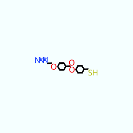 [N-]=[N+]=NCCOC1C=CC(C(=O)OC2CCC(CS)CC2)CC1